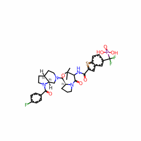 CC(C)(C)C(NC(=O)c1cc2cc(C(F)(F)P(=O)(O)O)ccc2s1)C(=O)N1CCC[C@H]1C(=O)N1CC[C@H]2CCN(C(=O)c3ccc(F)cc3)[C@H]2C1